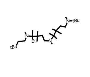 CCC(C)(N(C)CCC(C)(C)C)C(C)(C)CCN(C)C(C)(C)C(C)(C)CCN(C)C(C)(C)C